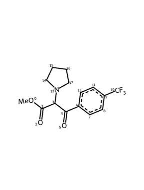 COC(=O)C(C(=O)c1ccc(C(F)(F)F)cc1)N1CCCC1